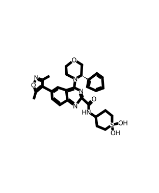 Cc1noc(C)c1-c1ccc2nc(C(=O)NC3CCS(O)(O)CC3)nc(N3CCOC[C@@H]3c3ccccc3)c2c1